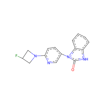 O=c1[nH]c2ccccc2n1-c1ccc(N2CC(F)C2)nc1